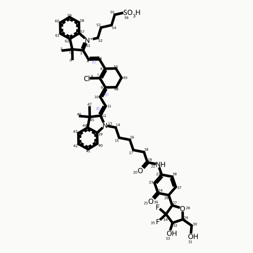 CC1(C)C(/C=C/C2=C(Cl)C(=C/C=C3/N(CCCCCC(=O)NC4=CC(=O)C(C5OC(CO)C(O)C5(F)F)C=C4)c4ccccc4C3(C)C)/CCC2)=[N+](CCCCS(=O)(=O)O)c2ccccc21